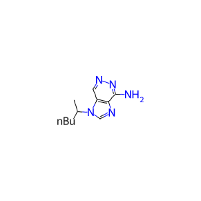 CCCCC(C)n1cnc2c(N)nncc21